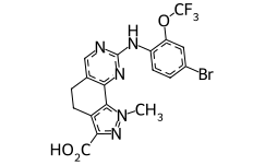 Cn1nc(C(=O)O)c2c1-c1nc(Nc3ccc(Br)cc3OC(F)(F)F)ncc1CC2